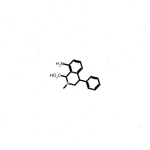 CN1CC(c2ccccc2)c2cccc(N)c2C1C(=O)O